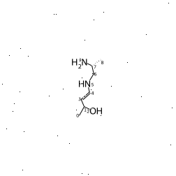 CC(O)/C=C/NC[C@@H](C)N